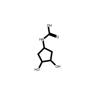 O=C(O)NC1CC(O)C(O)C1